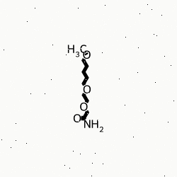 COCCCCCOCCOCC(N)=O